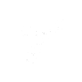 OC[C@@H]1CN(c2ccc(-c3ccc(OCc4ccccc4)nc3OCc3ccccc3)cc2)CCO1